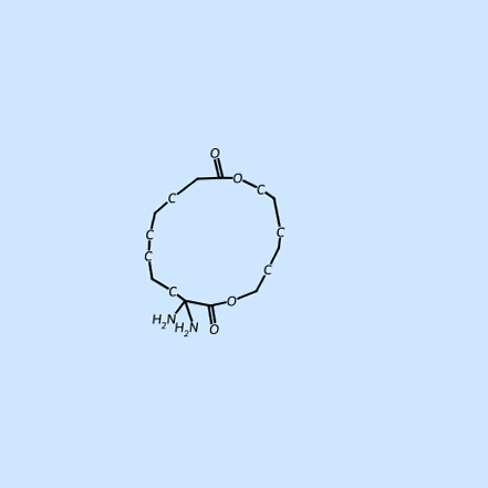 NC1(N)CCCCCCCC(=O)OCCCCCCOC1=O